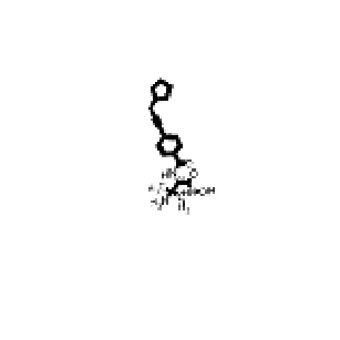 CC(C)(N)[C@H](NC(=O)c1ccc(C#CCC2CCCC2)cc1)C(=O)NO